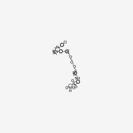 Cc1nnc2n1-c1ccc(-c3cnn(CCOCCOCCOCCn4cc(CNc5cccc6c5C(=O)N(C5CCC(=O)NC5=O)C6=O)nn4)c3)cc1C(c1ccc(Cl)cc1)=N[C@H]2C